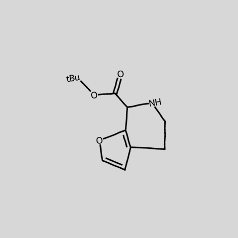 CC(C)(C)OC(=O)C1NCCc2ccoc21